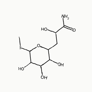 CSC1OC(CC(O)C(N)=O)C(O)C(O)C1O